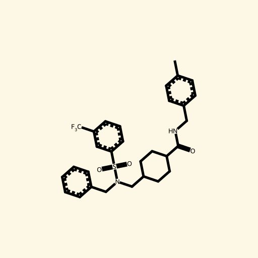 Cc1ccc(CNC(=O)C2CCC(CN(Cc3ccccc3)S(=O)(=O)c3cccc(C(F)(F)F)c3)CC2)cc1